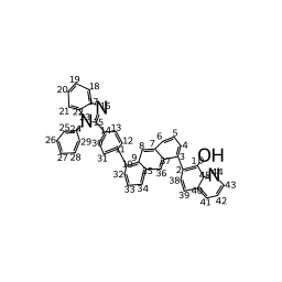 Oc1c(-c2cccc3cc4c(-c5ccc(-c6nc7ccccc7n6-c6ccccc6)cc5)cccc4cc23)ccc2cccnc12